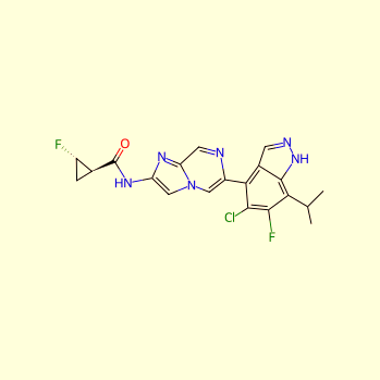 CC(C)c1c(F)c(Cl)c(-c2cn3cc(NC(=O)[C@H]4C[C@@H]4F)nc3cn2)c2cn[nH]c12